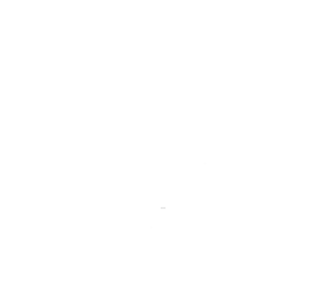 CC(C)C1CC2CC(=O)OC2C1C(C)(C)C